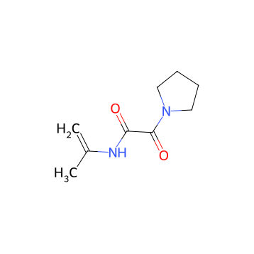 C=C(C)NC(=O)C(=O)N1CCCC1